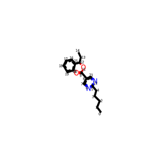 CCCCCc1ncc(C(=O)OC(CC)c2ccccc2)cn1